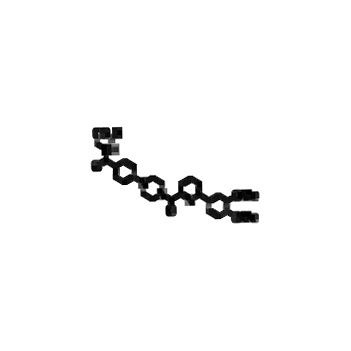 COc1ccc(-c2cccc(C(=O)N3CCN(c4ccc(C(=O)NCC(=O)O)cc4)CC3)n2)cc1OC